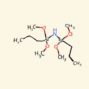 CCC[Si](N[Si](CCC)(OC)OC)(OC)OC